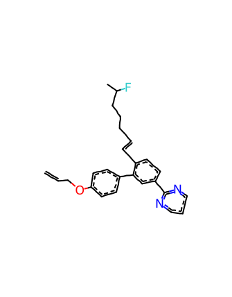 C=CCOc1ccc(-c2cc(-c3ncccn3)ccc2C=CCCCC(C)F)cc1